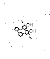 C=CCc1cc(-c2cccc3c2C(c2ccc(O)c(CC=C)c2)c2ccccc2-3)ccc1O